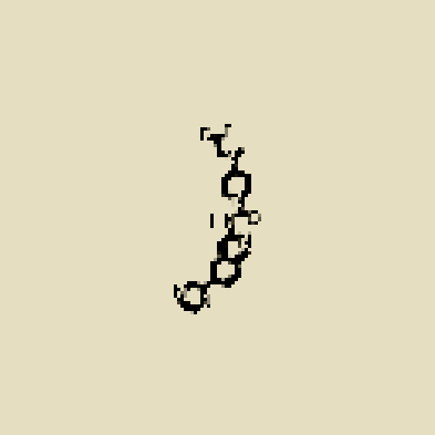 CN(CC(F)F)C1CCN(C(=O)Nc2cc3cc(-c4cnccn4)ccc3cn2)CC1